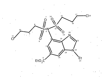 CCOC(=O)c1cc(N(S(=O)(=O)CCCCl)S(=O)(=O)CCCCl)c2ncn(CC)c2c1